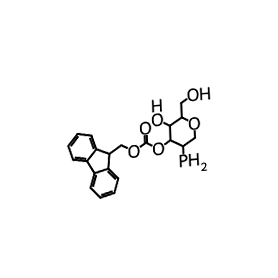 O=C(OCC1c2ccccc2-c2ccccc21)OC1C(P)COC(CO)C1O